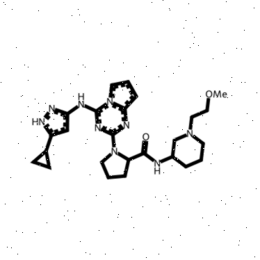 COCCN1CCCC(NC(=O)C2CCCN2c2nc(Nc3cc(C4CC4)[nH]n3)n3cccc3n2)C1